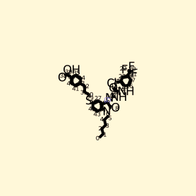 CCCCCCN1C(=O)/C(=N\NC(=O)Nc2ccc(C(F)(F)F)cc2Cl)c2cc(SCCCc3ccc(C(=O)O)cc3)ccc21